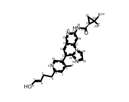 Cc1cc(CCC=CO)ncc1-c1cc2cnc(NC(=O)[C@H]3CC3(F)F)cc2n2ccnc12